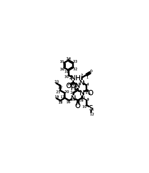 C#CCN1CC(=O)N2[C@@H](CCSC)C(=O)N(CC(CC)CCCC)C[C@@H]2N1C(=O)NCc1ccccc1